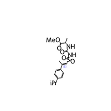 COC(=O)C(C)NC(=O)NS(=O)(=O)/C=C(\C)c1ccc(C(C)C)cc1